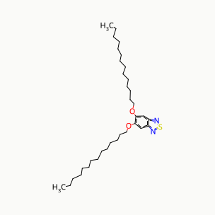 CCCCCCCCCCCCCCOc1cc2nsnc2cc1OCCCCCCCCCCCCCC